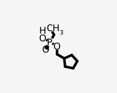 CCP(=O)(O)OCC1CCCC1